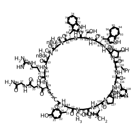 C=C(N)C[C@@H]1NC(=C)[C@H](C)N(C)C(=O)[C@H](Cc2ccc(O)cc2)NC(=O)CSC[C@@H](C(=O)NCC(=O)NCC(N)=O)NC(=O)[C@H](CCCNC(=N)N)NC(=O)[C@H](CCCC)N(C)C(=O)[C@H](CCCC)N(C)C(=O)[C@H](Cc2c[nH]c3ccccc23)NC(=O)[C@H](CO)NC(=O)[C@H](Cc2c[nH]c3ccccc23)NC(=O)[C@@H]2C[C@@H](O)CN2C(=O)[C@H](CC(C)C)NC(=O)[C@H](Cc2cnc[nH]2)NC(=O)[C@@H]2CCCN2C1=O